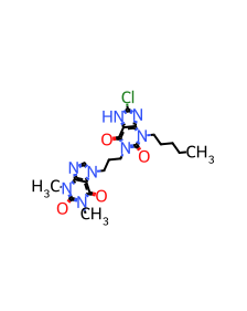 CCCCCn1c(=O)n(CCCn2cnc3c2c(=O)n(C)c(=O)n3C)c(=O)c2[nH]c(Cl)nc21